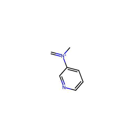 C=[N+](C)c1cccnc1